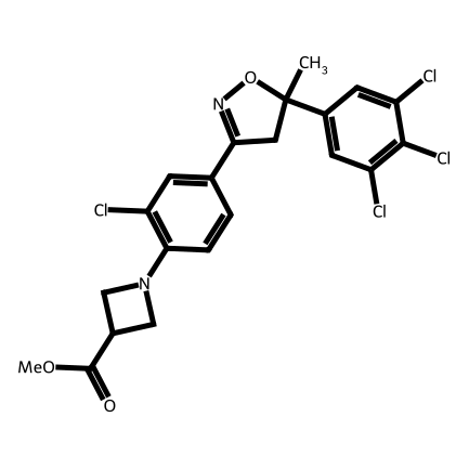 COC(=O)C1CN(c2ccc(C3=NOC(C)(c4cc(Cl)c(Cl)c(Cl)c4)C3)cc2Cl)C1